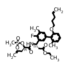 C=CCCCOc1cccc(C)c1-c1cc(C)c(F)c([C@H](CC(=O)OCC)NC(=O)[C@@H](CC=C)OS(C)(=O)=O)c1